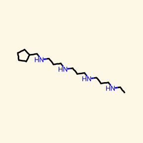 CCNCCCNCCCNCCCNCC1CCCC1